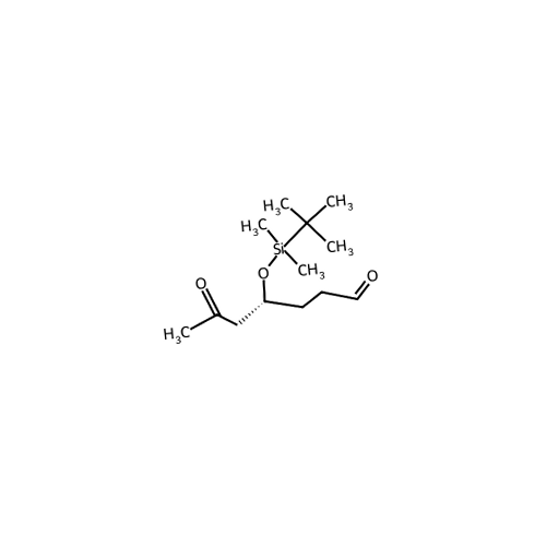 CC(=O)C[C@@H](CCC=O)O[Si](C)(C)C(C)(C)C